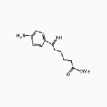 COC(=O)CCCCC(=N)c1ccc(N)cc1